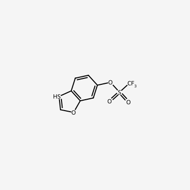 O=S(=O)(Oc1ccc2c(c1)OC=[SH]2)C(F)(F)F